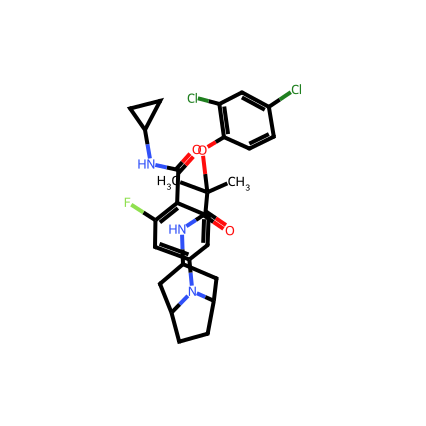 CC(C)(Oc1ccc(Cl)cc1Cl)C(=O)NC1CC2CCC(C1)N2c1ccc(C(=O)NC2CC2)c(F)c1